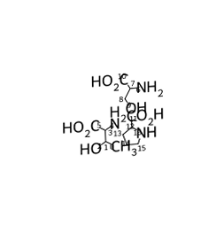 CC(O)C(N)C(=O)O.NC(CO)C(=O)O.O=C(O)C1CCCN1